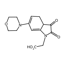 O=C(O)CN1C(=O)C(=O)C2CC=C(N3CCOCC3)C=C21